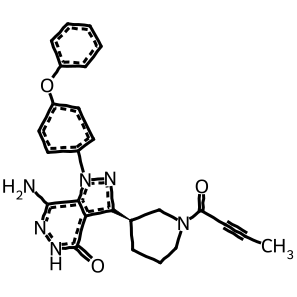 CC#CC(=O)N1CCC[C@@H](c2nn(-c3ccc(Oc4ccccc4)cc3)c3c(N)n[nH]c(=O)c23)C1